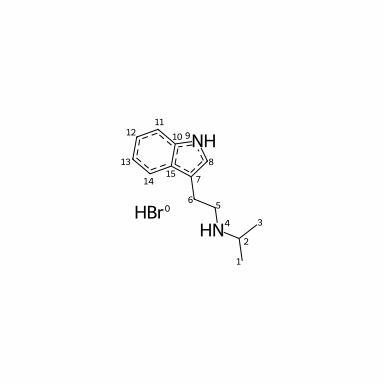 Br.CC(C)NCCc1c[nH]c2ccccc12